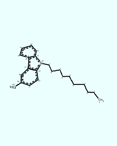 CCCCCCCCCCn1c2ccccc2c2cc(O)ccc21